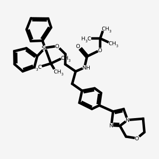 CC(C)(C)OC(=O)NC(CCO[Si](c1ccccc1)(c1ccccc1)C(C)(C)C)Cc1ccc(-c2cn3c(n2)COCC3)cc1